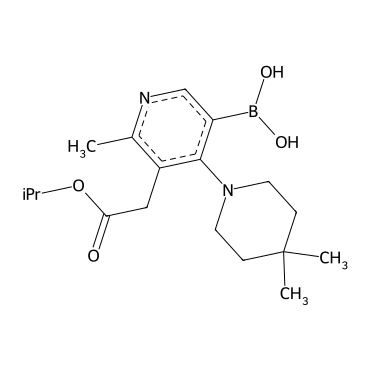 Cc1ncc(B(O)O)c(N2CCC(C)(C)CC2)c1CC(=O)OC(C)C